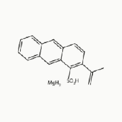 C=C(C)c1ccc2cc3ccccc3cc2c1S(=O)(=O)O.[MgH2]